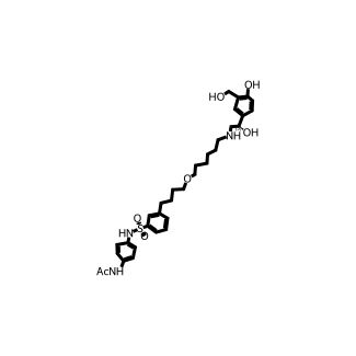 CC(=O)Nc1ccc(NS(=O)(=O)c2cccc(CCCCOCCCCCCNC[C@@H](O)c3ccc(O)c(CO)c3)c2)cc1